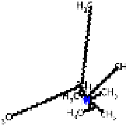 CCCCCCCCCCCCCC=CC1=C(c2cc(C)cc(C)c2)[N+](=[N-])C(c2cc(CCCC)cc(CCCC)c2)=C1CCCCC.CCCCCCCCCCCCCCCCCCCCCCCCCCCCC[CH2][Pd][CH2]CCCCCCCCCCCCCCCCCCCCCCCCCCCCC